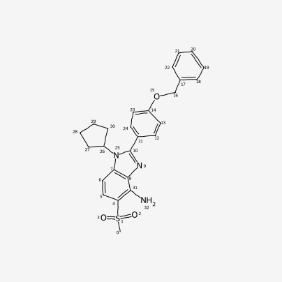 CS(=O)(=O)c1ccc2c(nc(-c3ccc(OCc4ccccc4)cc3)n2C2CCCC2)c1N